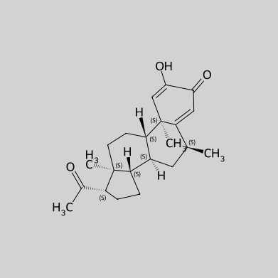 CC(=O)[C@H]1CC[C@H]2[C@@H]3C[C@H](C)C4=CC(=O)C(O)=C[C@]4(C)[C@H]3CC[C@]12C